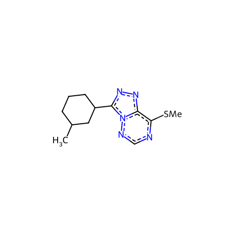 CSc1ncnn2c(C3CCCC(C)C3)nnc12